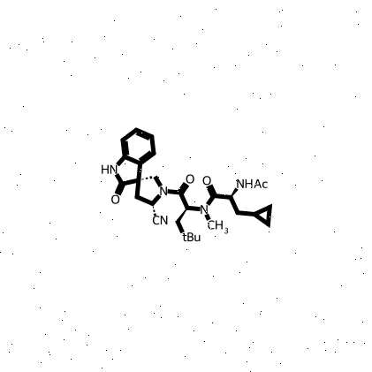 CC(=O)N[C@@H](CC1CC1)C(=O)N(C)[C@@H](CC(C)(C)C)C(=O)N1C[C@]2(C[C@H]1C#N)C(=O)Nc1ccccc12